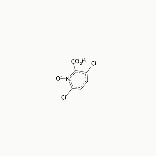 O=C(O)c1c(Cl)ccc(Cl)[n+]1[O-]